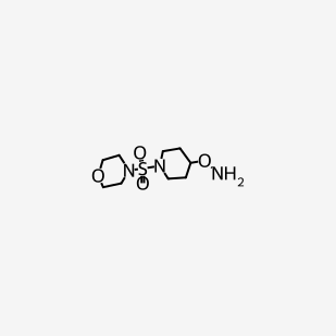 NOC1CCN(S(=O)(=O)N2CCOCC2)CC1